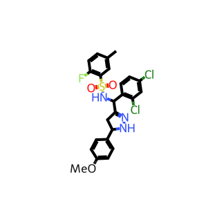 COc1ccc(C2CC(C(NS(=O)(=O)c3cc(C)ccc3F)c3ccc(Cl)cc3Cl)=NN2)cc1